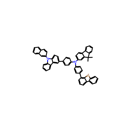 CC1(C)c2ccccc2-c2ccc(N(c3ccc(-c4ccc5c(c4)c4ccccc4n5-c4ccc5ccccc5c4)cc3)c3ccc(-c4cccc5c4sc4ccccc45)cc3)cc21